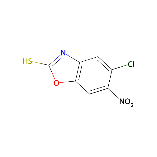 O=[N+]([O-])c1cc2oc(S)nc2cc1Cl